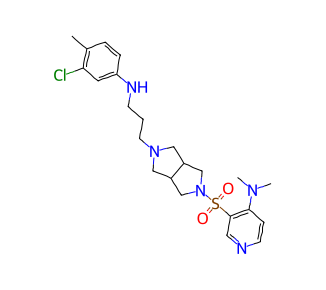 Cc1ccc(NCCCN2CC3CN(S(=O)(=O)c4cnccc4N(C)C)CC3C2)cc1Cl